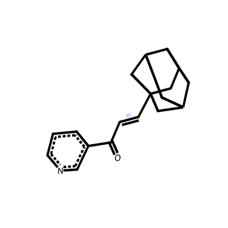 O=C(/C=C/C12CC3CC(CC(C3)C1)C2)c1cccnc1